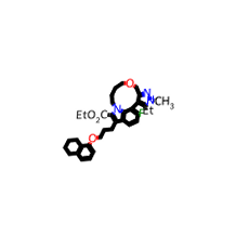 CCOC(=O)c1c(CCCOc2cccc3c2CCCC3)c2ccc(F)c3c2n1CCCCOCc1nn(C)c(CC)c1-3